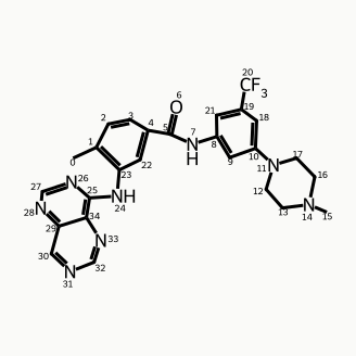 Cc1ccc(C(=O)Nc2cc(N3CCN(C)CC3)cc(C(F)(F)F)c2)cc1Nc1ncnc2cncnc12